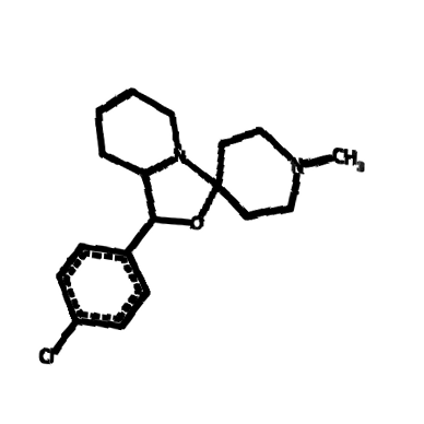 CN1CCC2(CC1)OC(c1ccc(Cl)cc1)C1CCCCN12